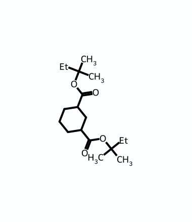 CCC(C)(C)OC(=O)C1CCCC(C(=O)OC(C)(C)CC)C1